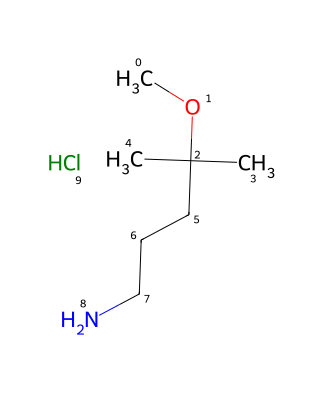 COC(C)(C)CCCN.Cl